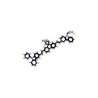 CCn1c2c(c3ccccc31)CC(/C=C/c1ccc3c(c1)C(CC)(CC)C1C=C(/C=C/c4ccc5c(c4)c4c(n5C5=CC=CCC5)C=CCC4)C=CC31)C=C2